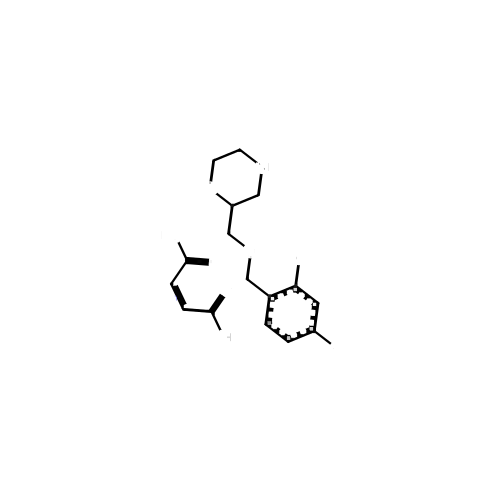 Clc1ccc(COCC2CNCCO2)c(Cl)c1.O=C(O)/C=C\C(=O)O